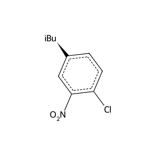 CC[C@H](C)c1ccc(Cl)c([N+](=O)[O-])c1